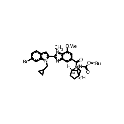 COc1cc(C(=O)N2C[C@H]3CC[C@H]2C3NC(=O)OC(C)(C)C)cc2nc(-c3cc4ccc(Br)cc4n3CC3CC3)n(C)c12